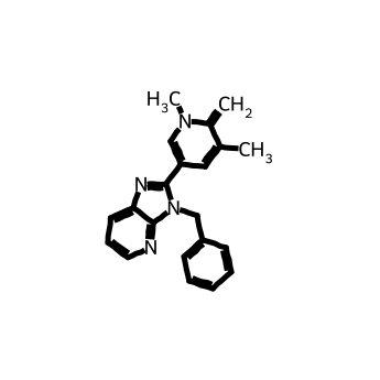 C=C1C(C)=CC(c2nc3cccnc3n2Cc2ccccc2)=CN1C